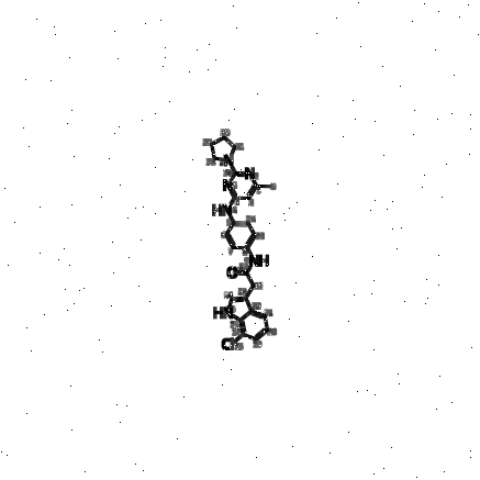 Cc1cc(Nc2ccc(NC(=O)Cc3c[nH]c4c(Cl)cccc34)cc2)nc(N2CCCC2)n1